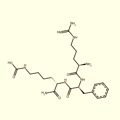 N=C(N)NCCC[C@@H](N)C(=O)N[C@@H](Cc1ccccc1)C(=O)N[C@@H](CCCCNC(=O)O)C(N)=O